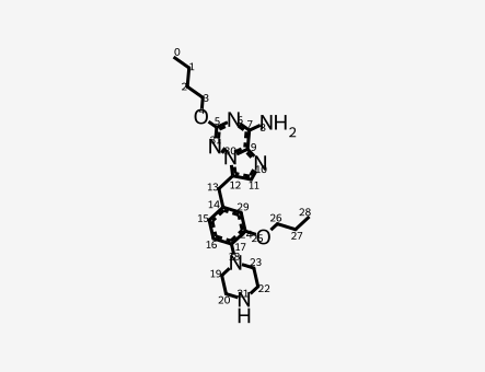 CCCCOc1nc(N)c2ncc(Cc3ccc(N4CCNCC4)c(OCCC)c3)n2n1